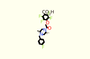 C[C@@H]1CN(Cc2ccc(F)cc2)[C@@H](C)CN1C(=O)COc1c(F)c(F)c(C(=O)O)c(F)c1F